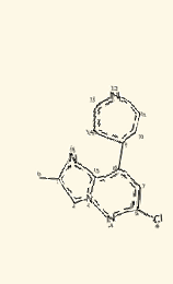 Cc1cn2nc(Cl)cc(-c3ccncc3)c2n1